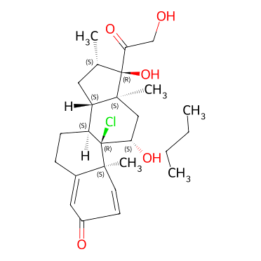 CCCC.C[C@H]1C[C@H]2[C@@H]3CCC4=CC(=O)C=C[C@]4(C)[C@@]3(Cl)[C@@H](O)C[C@]2(C)[C@@]1(O)C(=O)CO